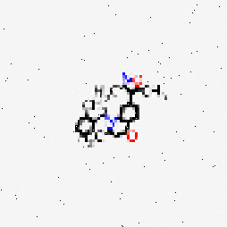 Cc1ccccc1Cn1c(C)cc(=O)c2ccc(-c3c(C)noc3C)cc21